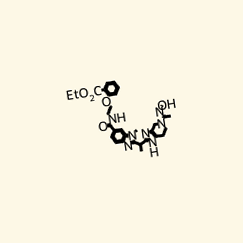 CCOC(=O)c1ccccc1OCCNC(=O)c1ccc2nc(C(C)c3nc4c([nH]3)CCN(C(C)=NO)C4)n(C)c2c1